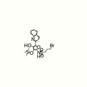 C[Si](C)(C)Oc1c(NS(=O)(=O)CCCBr)oc(-c2ccc3ccccc3n2)c1O